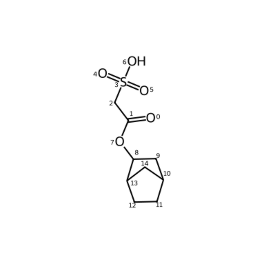 O=C(CS(=O)(=O)O)OC1CC2CCC1C2